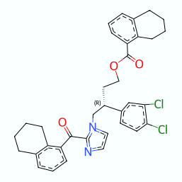 O=C(OCC[C@@H](Cn1ccnc1C(=O)c1cccc2c1CCCC2)c1ccc(Cl)c(Cl)c1)c1cccc2c1CCCC2